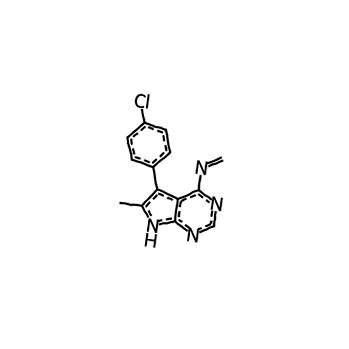 C=Nc1ncnc2[nH]c(C)c(-c3ccc(Cl)cc3)c12